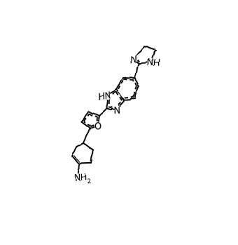 NC1=CCC(c2ccc(-c3nc4ccc(C5=NCCN5)cc4[nH]3)o2)CC1